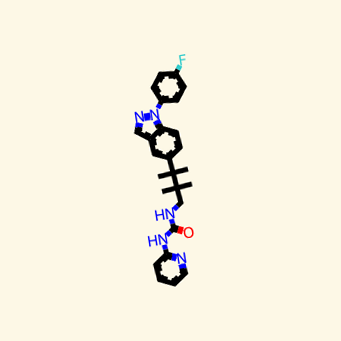 CC(C)(CNC(=O)Nc1ccccn1)C(C)(C)c1ccc2c(cnn2-c2ccc(F)cc2)c1